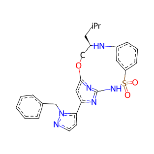 CC(C)C[C@@H]1COc2cc(-c3ccnn3Cc3ccccc3)nc(n2)NS(=O)(=O)c2cccc(c2)N1